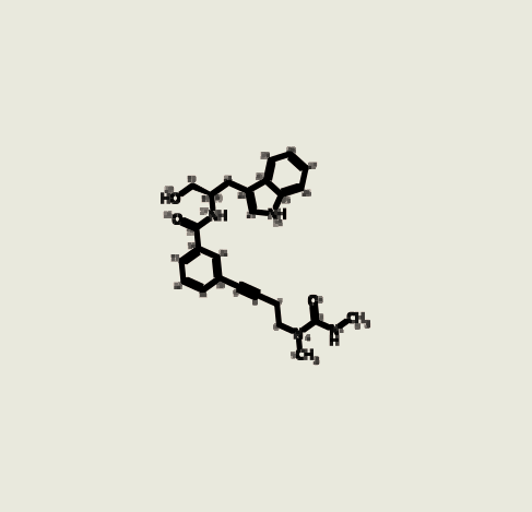 CNC(=O)N(C)CCC#Cc1cccc(C(=O)N[C@@H](CO)Cc2c[nH]c3ccccc23)c1